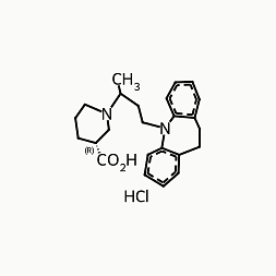 CC(CCN1c2ccccc2CCc2ccccc21)N1CCC[C@@H](C(=O)O)C1.Cl